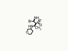 C/C(NC1CCCOC1)=C(/C(=N)Br)[N+](=O)[O-]